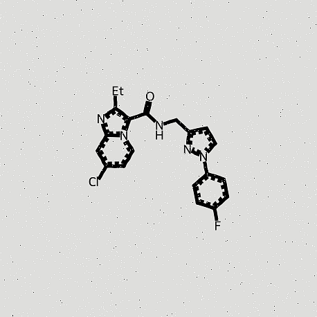 CCc1nc2cc(Cl)ccn2c1C(=O)NCc1ccn(-c2ccc(F)cc2)n1